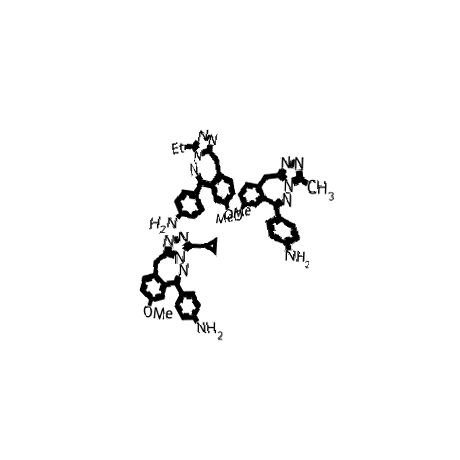 CCc1nnc2n1N=C(c1ccc(N)cc1)c1cc(OC)ccc1C2.COc1ccc2c(c1)C(c1ccc(N)cc1)=Nn1c(C)nnc1C2.COc1ccc2c(c1)C(c1ccc(N)cc1)=Nn1c(nnc1C1CC1)C2